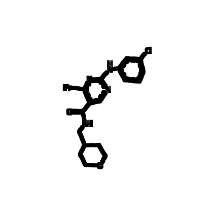 CC(C)c1nc(Nc2cccc(Cl)c2)ncc1C(=O)NCC1CCOCC1